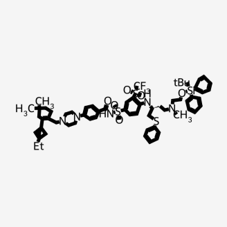 CCC12CC(C3=C(CN4CCN(c5ccc(C(=O)NS(=O)(=O)c6ccc(N[C@H](CCN(C)CCO[Si](c7ccccc7)(c7ccccc7)C(C)(C)C)CSc7ccccc7)c(S(=O)(=O)C(F)(F)F)c6)cc5)CC4)CCC(C)(C)C3)(C1)C2